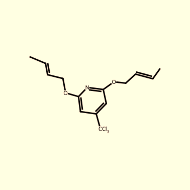 CC=CCOc1cc(C(Cl)(Cl)Cl)cc(OCC=CC)n1